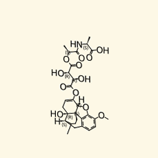 COc1ccc2c3c1O[C@H]1C(OC(=O)[C@H](O)[C@@H](O)C(=O)O[C@@H](C)C(=O)N[C@@H](C)C(=O)O)=CC[C@@]4(O)[C@@H](C2)C(C)CC[C@]314